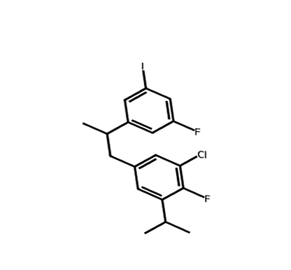 CC(C)c1cc(CC(C)c2cc(F)cc(I)c2)cc(Cl)c1F